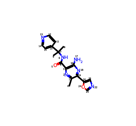 Cc1nc(C(=O)NC(C)(C)c2ccncc2)c(N)nc1-c1cnco1